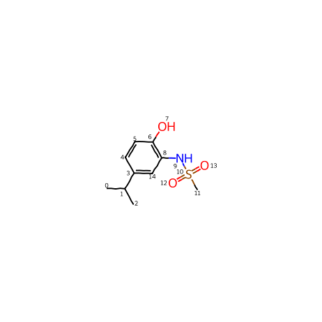 CC(C)c1ccc(O)c(NS(C)(=O)=O)c1